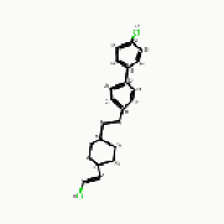 Cl/C=C/C1CCC(CCc2ccc(-c3ccc(Cl)cc3)cc2)CC1